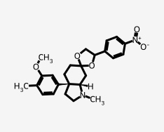 COc1cc([C@]23CCN(C)[C@H]2CC2(CC3)OCC(c3ccc([N+](=O)[O-])cc3)O2)ccc1C